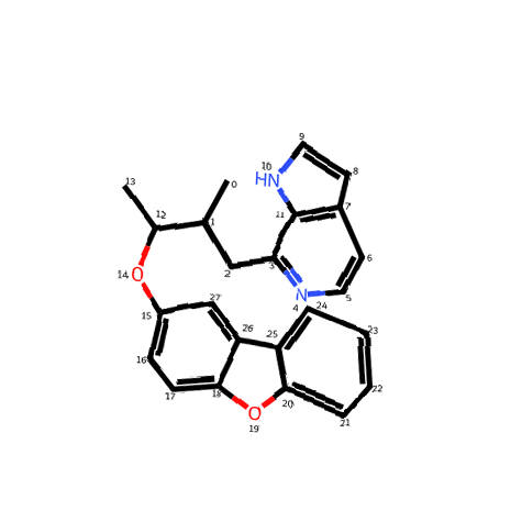 CC(Cc1nccc2cc[nH]c12)C(C)Oc1ccc2oc3ccccc3c2c1